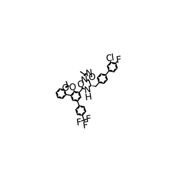 CC(=O)Oc1c(C(=O)N[C@H](Cc2ccc(-c3ccc(F)c(Cl)c3)cc2)c2nc(C)no2)cc(-c2ccc(C(F)(F)F)cc2)cc1-c1ccccc1